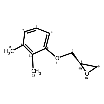 Cc1cccc(OC[C@H]2CO2)c1C